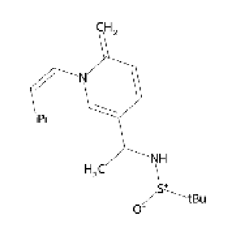 C=C1C=CC(C(C)N[S+]([O-])C(C)(C)C)=CN1/C=C\C(C)C